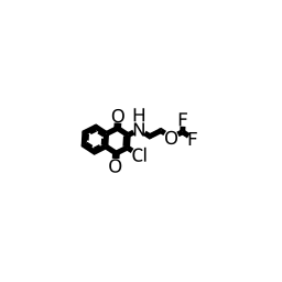 O=C1C(Cl)=C(NCCOC(F)F)C(=O)c2ccccc21